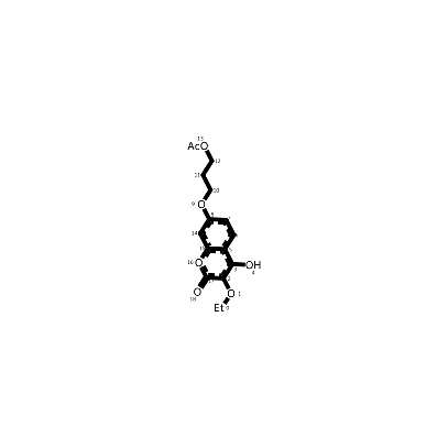 CCOc1c(O)c2ccc(OCCCOC(C)=O)cc2oc1=O